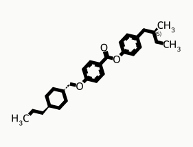 CCC[C@H]1CC[C@H](COc2ccc(C(=O)Oc3ccc(C[C@@H](C)CC)cc3)cc2)CC1